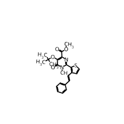 COC(=O)c1nc(-c2sccc2C=Cc2ccccc2)n(C)c(=O)c1OC(C)(C)C